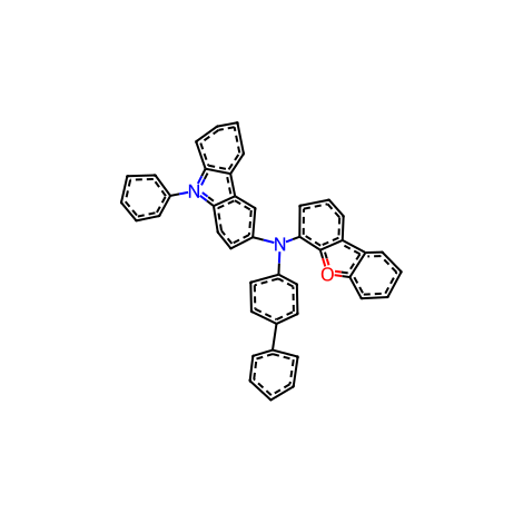 c1ccc(-c2ccc(N(c3ccc4c(c3)c3ccccc3n4-c3ccccc3)c3cccc4c3oc3ccccc34)cc2)cc1